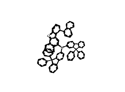 c1ccc(C2(c3ccccc3)c3ccccc3-c3ccc(N(c4ccc5c(c4)C(c4ccccc4)(c4ccccc4)c4ccccc4-5)c4cc5c(oc6cccc(-c7cccc8ccccc78)c65)c5ccccc45)cc32)cc1